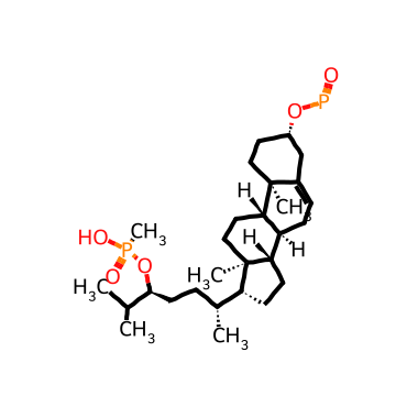 CC(C)[C@H](CC[C@@H](C)[C@H]1CC[C@H]2[C@@H]3CC=C4C[C@@H](OP=O)CC[C@]4(C)[C@H]3CC[C@]12C)OP(C)(=O)O